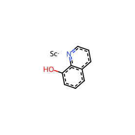 Oc1cccc2cccnc12.[Sc]